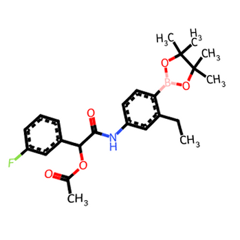 CCc1cc(NC(=O)C(OC(C)=O)c2cccc(F)c2)ccc1B1OC(C)(C)C(C)(C)O1